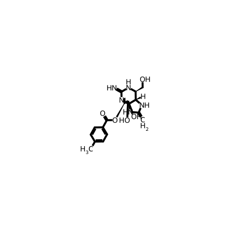 C=C1N[C@H]2[C@H](CO)NC(=N)N3C[C@H](OC(=O)c4ccc(C)cc4)C(O)(O)[C@]23N1